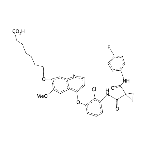 COc1cc2c(Oc3cccc(NC(=O)C4(C(=O)Nc5ccc(F)cc5)CC4)c3Cl)ccnc2cc1OCCCCCCC(=O)O